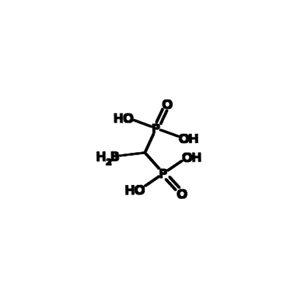 BC(P(=O)(O)O)P(=O)(O)O